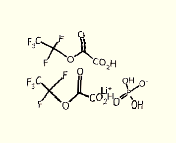 O=C(O)C(=O)OC(F)(F)C(F)(F)F.O=C(O)C(=O)OC(F)(F)C(F)(F)F.O=P([O-])(O)O.[Li+]